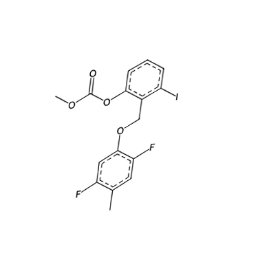 COC(=O)Oc1cccc(I)c1COc1cc(F)c(C)cc1F